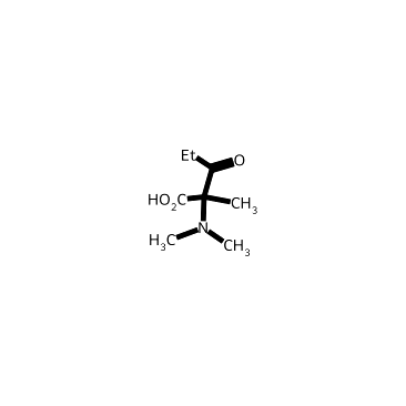 CCC(=O)C(C)(C(=O)O)N(C)C